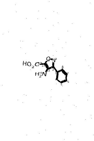 Nc1c(-c2ccccc2)noc1C(=O)O